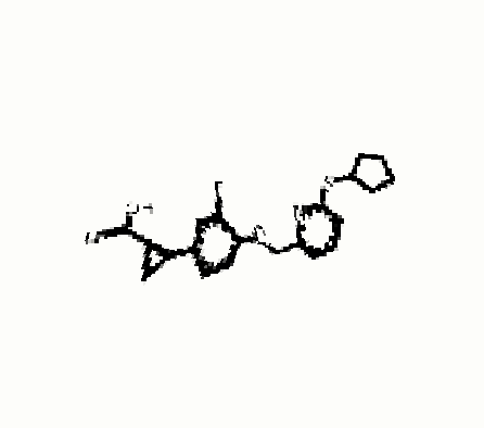 O=C(O)C1CC1c1ccc(OCc2cccc(SC3CCCC3)n2)c(F)c1